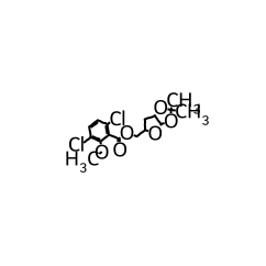 COc1c(Cl)ccc(Cl)c1C(=O)OCC1CC2OC(C)(C)OC2O1